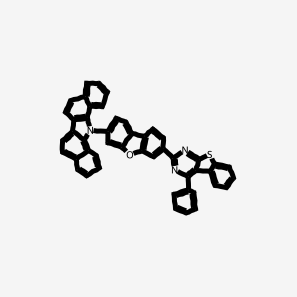 c1ccc(-c2nc(-c3ccc4c(c3)oc3cc(-n5c6c7ccccc7ccc6c6ccc7ccccc7c65)ccc34)nc3sc4ccccc4c23)cc1